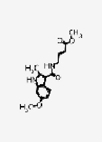 COC(=O)/C=C/CNC(=O)c1c(C)[nH]c2cc(OC)ccc12